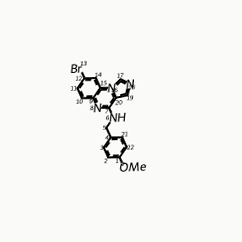 COc1ccc(CNc2nc3ccc(Br)cc3n3cncc23)cc1